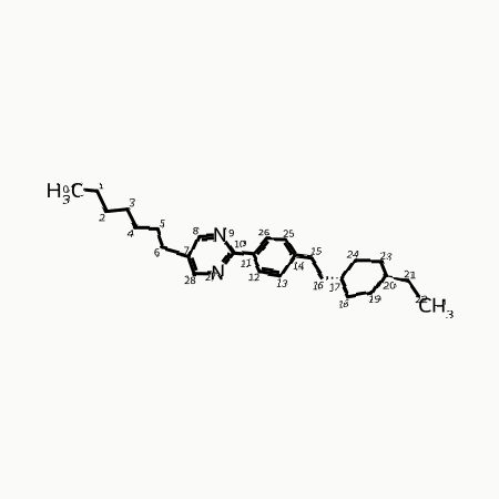 CCCCCCCc1cnc(-c2ccc(CC[C@H]3CC[C@H](CC)CC3)cc2)nc1